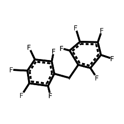 Fc1c(F)c(F)c([CH]c2c(F)c(F)c(F)c(F)c2F)c(F)c1F